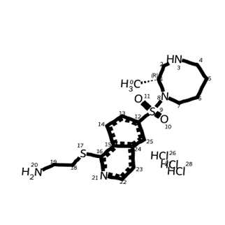 C[C@@H]1CNCCCCN1S(=O)(=O)c1ccc2c(SCCN)nccc2c1.Cl.Cl.Cl